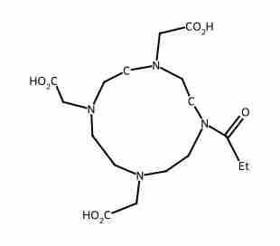 CCC(=O)N1CCN(CC(=O)O)CCN(CC(=O)O)CCN(CC(=O)O)CC1